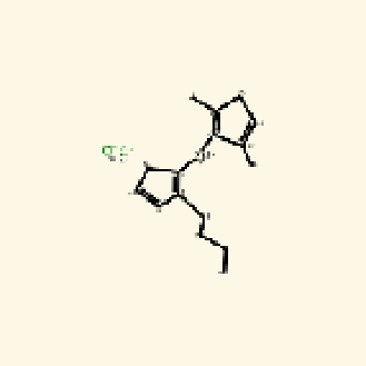 CCCCC1=[C]([Zr+2][C]2=C(C)CC=C2C)CC=C1.[Cl-].[Cl-]